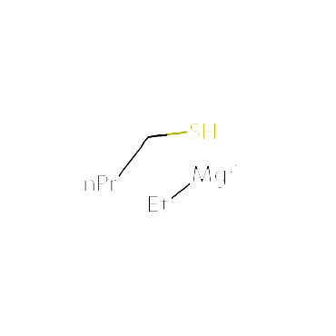 CCCCS.C[CH2][Mg+2]